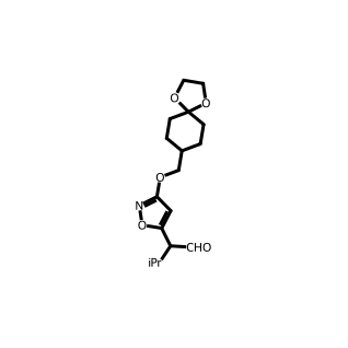 CC(C)C(C=O)c1cc(OCC2CCC3(CC2)OCCO3)no1